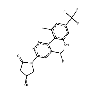 Cc1cc(C(F)(F)F)cc(O)c1-c1nnc(N2C[C@@H](O)CC2=O)cc1C(F)F